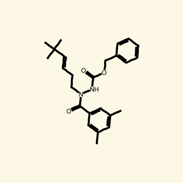 Cc1cc(C)cc(C(=O)N(CCC=CC(C)(C)C)NC(=O)OCc2ccccc2)c1